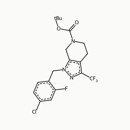 CC(C)(C)OC(=O)N1CCc2c(C(F)(F)F)nn(Cc3ccc(Cl)cc3F)c2C1